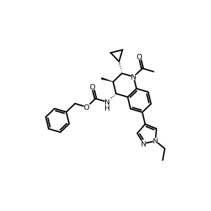 CCn1cc(-c2ccc3c(c2)[C@H](NC(=O)OCc2ccccc2)[C@@H](C)[C@H](C2CC2)N3C(C)=O)cn1